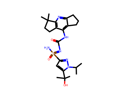 CC(C)n1nc(S(N)(=O)=NC(=O)Nc2c3c(nc4c2CCC4(C)C)CCC3)cc1C(C)(C)O